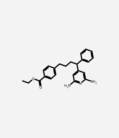 CCOC(=O)c1ccc(CCCC(c2ccccc2)c2cc(N)nc(N)c2)cc1